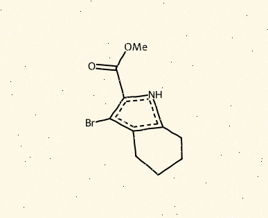 COC(=O)c1[nH]c2c(c1Br)CCCC2